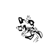 Cc1ccc(C[C@H](NC(=O)[C@H](C)NC(=O)CN2CCOCC2)C(=O)N[C@@H](CC2CCCC2)C(=O)[C@@]2(C)CO2)cc1OCc1ccccc1